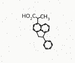 CC(C(=O)O)c1ccc2c3c(cccc13)C(c1ccccc1)C2